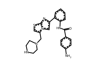 Nc1ccc(C(=O)Nc2ccccc2-c2cn3c(CN4CCNCC4)csc3n2)cc1